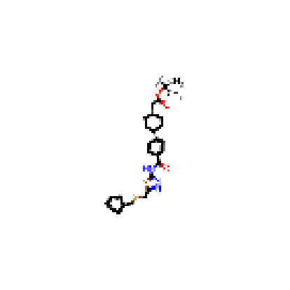 CC(C)(C)OC(=O)C[C@H]1CC[C@H](c2ccc(C(=O)Nc3nnc(CSCc4ccccc4)s3)cc2)CC1